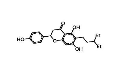 CCC(CC)CCc1c(O)cc2c(c1O)C(=O)CC(c1ccc(O)cc1)O2